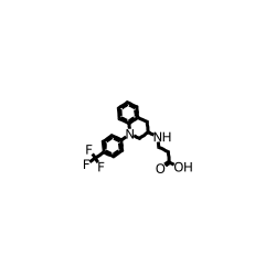 O=C(O)CCNC1Cc2ccccc2N(c2ccc(C(F)(F)F)cc2)C1